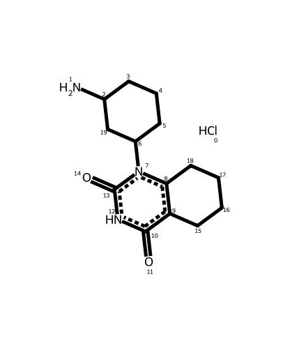 Cl.NC1CCCC(n2c3c(c(=O)[nH]c2=O)CCCC3)C1